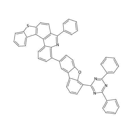 c1ccc(-c2nc(-c3ccccc3)nc(-c3cccc4c3oc3ccc(-c5cccc6c5nc(-c5ccccc5)c5ccc7sc8ccccc8c7c56)cc34)n2)cc1